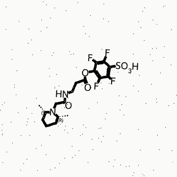 C[C@@H]1CCC[C@H](C)N1CC(=O)NCCC(=O)Oc1c(F)c(F)c(S(=O)(=O)O)c(F)c1F